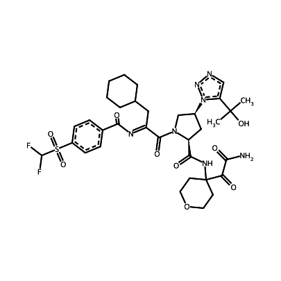 CC(C)(O)c1cnnn1[C@H]1C[C@@H](C(=O)NC2(C(=O)C(N)=O)CCOCC2)N(C(=O)/C(CC2CCCCC2)=N/C(=O)c2ccc(S(=O)(=O)C(F)F)cc2)C1